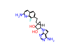 Nc1ccc2ccc(CC[C@@]34C[C@@H]3[C@@H](n3ccc5c(N)ncnc53)[C@H](O)[C@@H]4O)c(F)c2n1